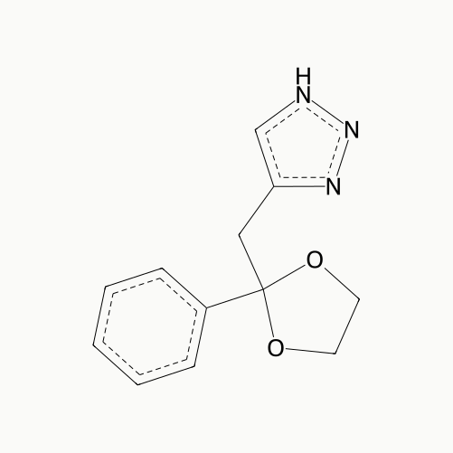 c1ccc(C2(Cc3c[nH]nn3)OCCO2)cc1